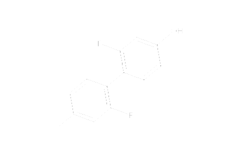 Oc1ccc(-c2ccc(F)cc2F)c(F)c1